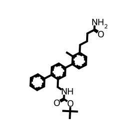 Cc1c(CCCC(N)=O)cccc1-c1ccc(-c2ccccc2)c(CNC(=O)OC(C)(C)C)c1